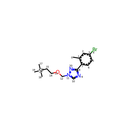 Cc1cc(Br)ccc1-c1ncn(COCC[Si](C)(C)C)n1